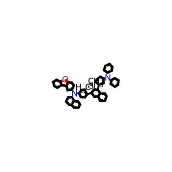 C[Si]1(C)c2ccc(N(c3ccccc3)c3ccccc3)cc2-c2c1c(-c1ccc(N(c3ccc4oc5ccccc5c4c3)c3cccc4ccccc34)cc1)cc1ccccc21